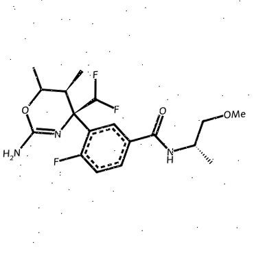 COC[C@H](C)NC(=O)c1ccc(F)c([C@]2(C(F)F)N=C(N)OC(C)[C@H]2C)c1